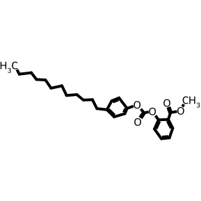 CCCCCCCCCCCCc1ccc(OC(=O)Oc2ccccc2C(=O)OC)cc1